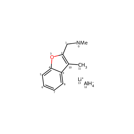 CNCc1oc2ccccc2c1C.[AlH4-].[Li+]